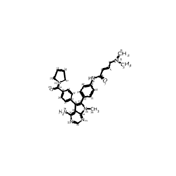 CN(C)C/C=C/C(=O)Nc1ccc(-c2c(-c3ccc(C(=O)N4CCCC4)cc3)c3c(N)ncnc3n2C)cc1